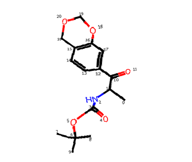 CC(NC(=O)OC(C)(C)C)C(=O)c1ccc2c(c1)OCOC2